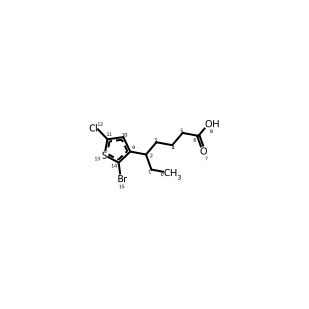 CCC(CCCC(=O)O)c1cc(Cl)sc1Br